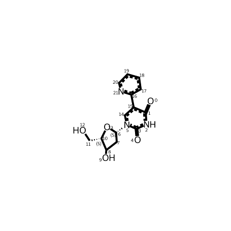 O=c1[nH]c(=O)n([C@@H]2CC(O)[C@H](CO)O2)cc1-c1ccccn1